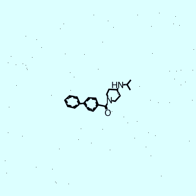 CC(C)NC1CCN(C(=O)c2ccc(-c3ccccc3)cc2)CC1